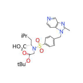 Cc1nc2cnccc2n1Cc1ccc(S(=O)(=O)N(CC(=O)OC(C)(C)C)[C@@H](CC(C)C)C(=O)O)cc1